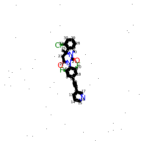 CN1C(=O)N(c2c(F)cc(C#Cc3cccnc3)cc2F)C(=O)CC1(C)c1ccccc1Cl